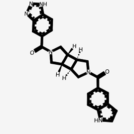 O=C(c1ccc2[nH]ccc2c1)N1C[C@@H]2[C@H](C1)[C@H]1CN(C(=O)c3ccc4[nH]nnc4c3)C[C@@H]21